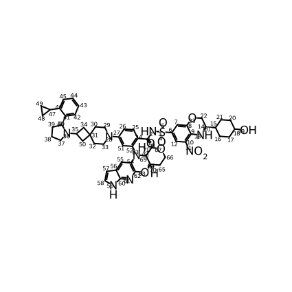 O=C(NS(=O)(=O)c1cc2c(c([N+](=O)[O-])c1)N[C@H](C1CCC(O)CC1)CO2)c1ccc(N2CCC3(CC2)CC(N2CCC[C@H]2c2ccccc2C2CC2)C3)cc1N1c2cc3cc[nH]c3nc2O[C@H]2CCOC[C@@H]21